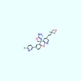 CC1(C=Cc2cnc3c(c2)[C@]2(COC(N)=N2)c2cc(-c4ccc(F)nc4)ccc2O3)COC1